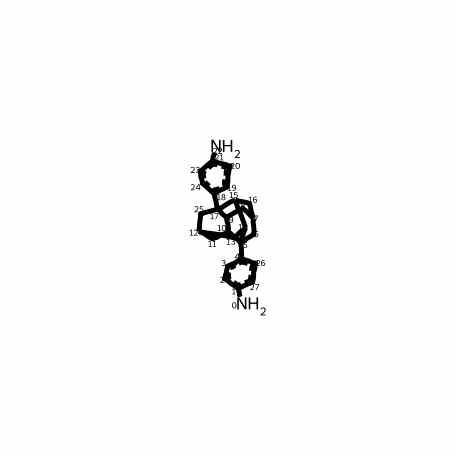 Nc1ccc(C23CC4CC5C2CC2CC3C(C4)C5(c3ccc(N)cc3)C2)cc1